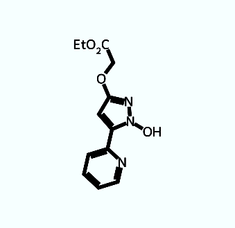 CCOC(=O)COc1cc(-c2ccccn2)n(O)n1